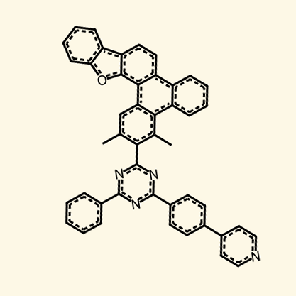 Cc1cc2c(c(C)c1-c1nc(-c3ccccc3)nc(-c3ccc(-c4ccncc4)cc3)n1)c1ccccc1c1ccc3c4ccccc4oc3c12